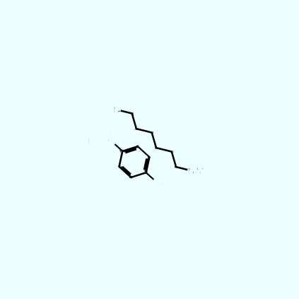 CNCCCCCCN.O=C(O)c1ccc(C(=O)O)cc1